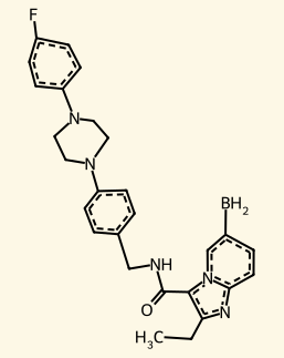 Bc1ccc2nc(CC)c(C(=O)NCc3ccc(N4CCN(c5ccc(F)cc5)CC4)cc3)n2c1